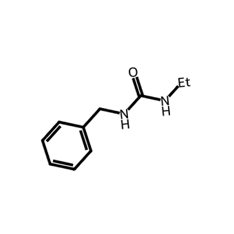 CCNC(=O)NCc1ccccc1